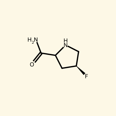 NC(=O)C1C[C@H](F)CN1